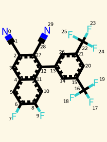 N#Cc1cc2cc(F)c(F)cc2c(-c2cc(C(F)(F)F)cc(C(F)(F)F)c2)c1C#N